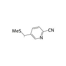 CS[CH]c1ccc(C#N)nc1